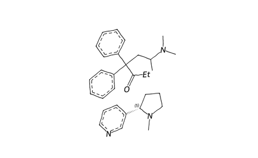 CCC(=O)C(CC(C)N(C)C)(c1ccccc1)c1ccccc1.CN1CCC[C@H]1c1cccnc1